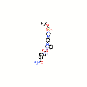 COCCS(=O)(=O)N1CCN(c2ccc(N3CCN(OC(=O)NC4[C@@H]5CC6C[C@H]4CC(C(N)=O)(C6)C5)c4ccccc43)cc2)CC1